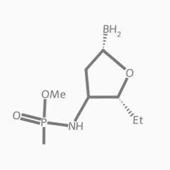 B[C@H]1CC(NP(C)(=O)OC)[C@@H](CC)O1